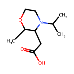 CC1OCCN(C(C)C)C1CC(=O)O